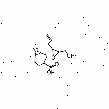 C=CCC1OC1CO.O=C(O)C1CCC2OC2C1